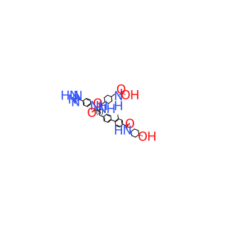 Cc1cc(C(=O)N[C@H]2CC[C@H](O)CC2)ccc1-c1ccc(C[C@H](NC(=O)C2CCC(CNC(=O)O)CC2)C(=O)Nc2ccc(-c3nn[nH]n3)cc2)cc1